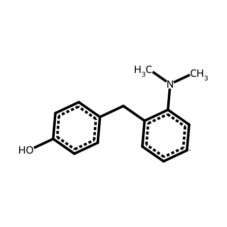 CN(C)c1c[c]ccc1Cc1ccc(O)cc1